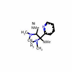 CNC(N(C)C)C(NC)(c1ccccn1)N(C)C.[Ni]